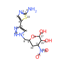 Nc1ncc(-c2cn(CC3CC([N+](=O)[O-])C(O)[C@H](O)O3)nn2)s1